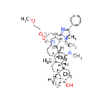 C=C(C)[C@H]1CC[C@]2(C=O)CC[C@]3(C)[C@@H](CC[C@@H]4[C@@]5(C)CC[C@H](O)C(C)(C)[C@@H]5CC[C@]43C)[C@]12N1C[C@H](OCCOC)C[C@H]1c1nc(-c2ccccc2)cn1CCN(C)C